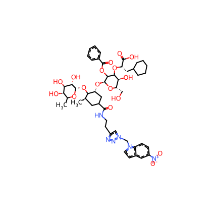 CC1O[C@@H](OC2[C@H](C)CC(C(=O)NCCc3cn(Cn4ccc5cc([N+](=O)[O-])ccc54)nn3)C[C@H]2O[C@@H]2O[C@@H](CO)[C@H](O)C(O[C@@H](CC3CCCCC3)C(=O)O)C2OC(=O)c2ccccc2)[C@@H](O)C(O)[C@@H]1O